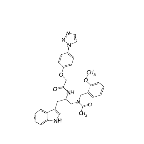 COc1ccccc1CN(CC(Cc1c[nH]c2ccccc12)NC(=O)COc1ccc(-n2ccnn2)cc1)C(C)=O